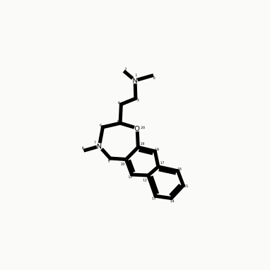 CN(C)CCC1CN(C)Cc2cc3ccccc3cc2O1